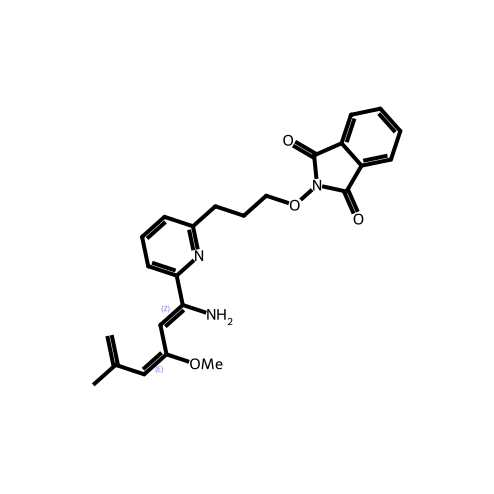 C=C(C)/C=C(\C=C(/N)c1cccc(CCCON2C(=O)c3ccccc3C2=O)n1)OC